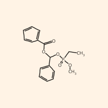 CCP(=O)(OC)OC(OC(=O)c1ccccc1)c1ccccc1